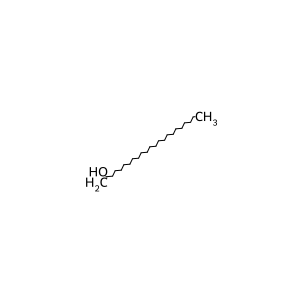 C=C(O)CCCCCCCCCCCCCCCCCCCCC